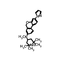 CN(c1ccc2c(c1)COc1cc(-n3cccn3)ccc1-2)C1CC(C)(C)NC(C)(C)C1